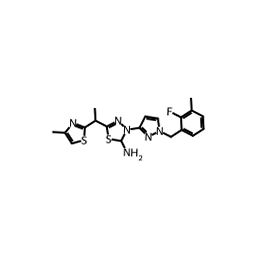 Cc1csc(C(C)C2=NN(c3ccn(Cc4cccc(C)c4F)n3)C(N)S2)n1